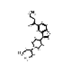 CCCC(=O)c1ccc2[nH]cc(C3CCN(C(CC)CC)CC3)c2c1